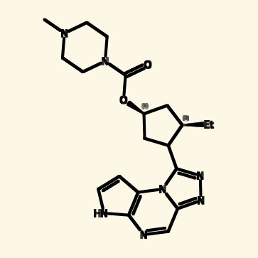 CC[C@@H]1C[C@H](OC(=O)N2CCN(C)CC2)CC1c1nnc2cnc3[nH]ccc3n12